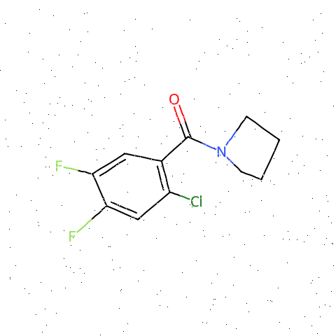 O=C(c1cc(F)c(F)cc1Cl)N1CCCC1